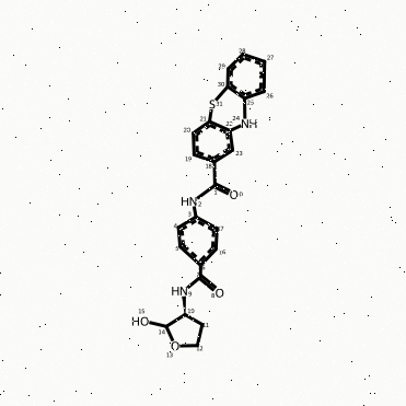 O=C(Nc1ccc(C(=O)N[C@H]2CCOC2O)cc1)c1ccc2c(c1)Nc1ccccc1S2